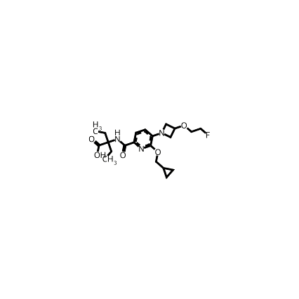 CCC(CC)(NC(=O)c1ccc(N2CC(OCCF)C2)c(OCC2CC2)n1)C(=O)O